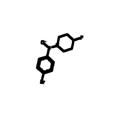 [O-][S+](c1ccc(Br)cc1)N1CCC(F)CC1